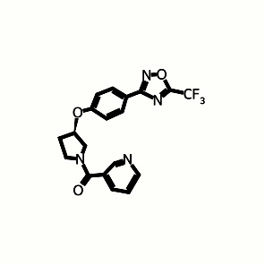 O=C(c1cccnc1)N1CC[C@@H](Oc2ccc(-c3noc(C(F)(F)F)n3)cc2)C1